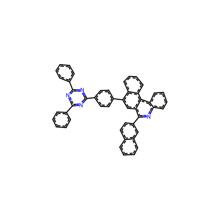 c1ccc(-c2nc(-c3ccccc3)nc(-c3ccc(-c4cc5c(-c6ccc7ccccc7c6)nc6ccccc6c5c5ccccc45)cc3)n2)cc1